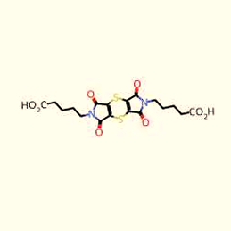 O=C(O)CCCCn1c(=O)c2sc3c(=O)n(CCCCC(=O)O)c(=O)c3sc2c1=O